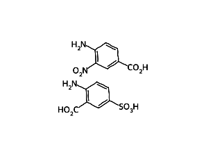 Nc1ccc(C(=O)O)cc1[N+](=O)[O-].Nc1ccc(S(=O)(=O)O)cc1C(=O)O